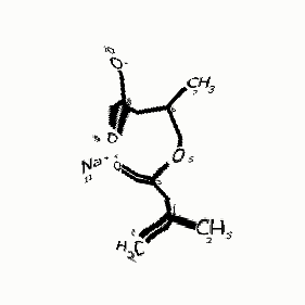 C=C(C)C(=O)OC(C)C(=O)[O-].[Na+]